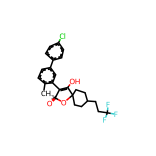 Cc1ccc(-c2ccc(Cl)cc2)cc1C1=C(O)C2(CCC(CCC(F)(F)F)CC2)OC1=O